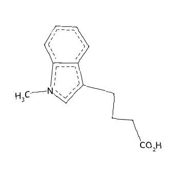 Cn1cc(CCCC(=O)O)c2ccccc21